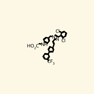 O=C(O)CNc1ccc(Cn2cc(-c3c(Cl)cccc3Cl)nc2/C=C/c2ccc(-c3cccc(C(F)(F)F)c3)cc2)cc1